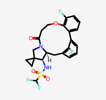 O=C1CCOc2c(F)cccc2-c2cccc(c2F)C[C@H]2[C@@H](NS(=O)(=O)C(F)F)C3(CC3)CN12